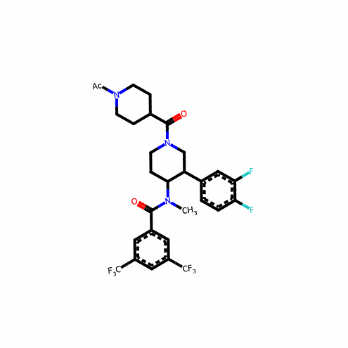 CC(=O)N1CCC(C(=O)N2CCC(N(C)C(=O)c3cc(C(F)(F)F)cc(C(F)(F)F)c3)C(c3ccc(F)c(F)c3)C2)CC1